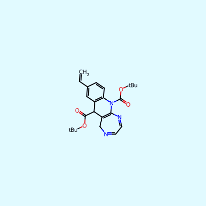 C=Cc1ccc2c(c1)C(C(=O)OC(C)(C)C)C1=C(N=CC=NC1)N2C(=O)OC(C)(C)C